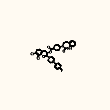 O=C(OC(Cc1ccc(Cl)c(Cl)c1)C(=O)N1CCN(c2ccc(F)cc2)CC1)N1CCC(N2CCc3ccccc3NC2=O)CC1